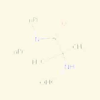 CCCN(CCC)C(=O)C(C)(C)NC=O